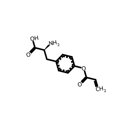 C=CC(=O)Oc1ccc(C[C@H](N)C(=O)O)cc1